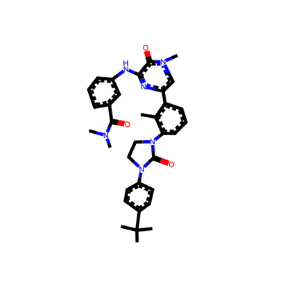 Cc1c(-c2cn(C)c(=O)c(Nc3cccc(C(=O)N(C)C)c3)n2)cccc1N1CCN(c2ccc(C(C)(C)C)cc2)C1=O